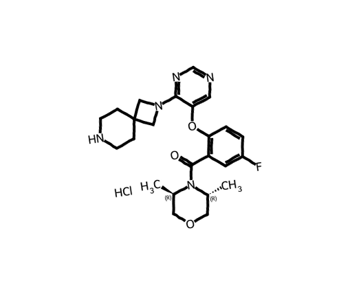 C[C@@H]1COC[C@@H](C)N1C(=O)c1cc(F)ccc1Oc1cncnc1N1CC2(CCNCC2)C1.Cl